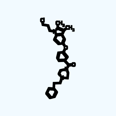 Cc1c(C)n(CCCCl)c2ccc(Oc3cccc(C(=O)N4CCN(CCc5ccccc5)CC4)c3)cc12